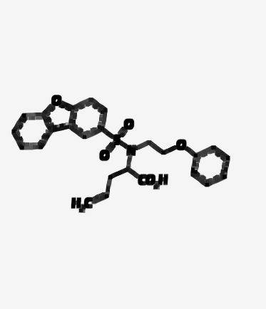 C=CCC(C(=O)O)N(CCOc1ccccc1)S(=O)(=O)c1ccc2oc3ccccc3c2c1